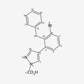 O=C(O)n1cc(-c2cccc(Br)c2Cc2ccccc2)cn1